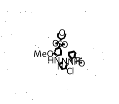 COc1cc(S(=O)(=O)C2CCOCC2)ccc1Nc1ncc(Cl)c(Nc2ccccc2P(C)(C)=O)n1